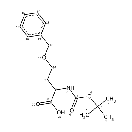 CC(C)(C)OC(=O)NC(CCOCc1ccccc1)C(=O)O